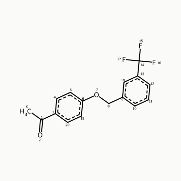 CC(=O)c1ccc(OCc2cccc(C(F)(F)F)c2)cc1